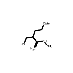 C=C(NN)C(CO)CCOC